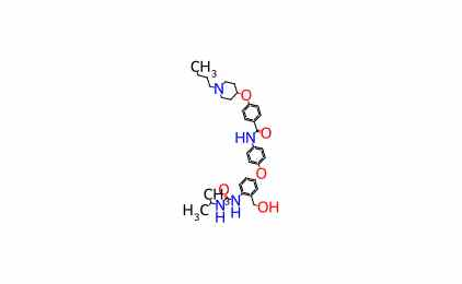 CCCCN1CCC(Oc2ccc(C(=O)Nc3ccc(Oc4ccc(NC(=O)NC(C)C)c(CO)c4)cc3)cc2)CC1